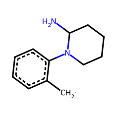 [CH2]c1ccccc1N1CCCCC1N